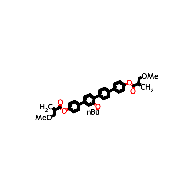 C=C(COC)C(=O)Oc1ccc(-c2ccc(-c3ccc(-c4ccc(OC(=O)C(=C)COC)cc4)cc3OCCCC)cc2)cc1